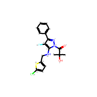 CC(C)(O)C(=O)n1nc(-c2ccccc2)c(F)c1NCc1ccc(Cl)s1